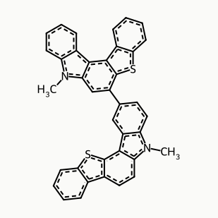 Cn1c2ccc(-c3cc4c(c5ccccc5n4C)c4c3sc3ccccc34)cc2c2c3sc4ccccc4c3ccc21